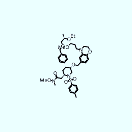 CCO[C@H](C)COCc1ccc([C@H]2C[C@H](CC(=O)N(C)OC)N(S(=O)(=O)c3ccc(C)cc3)C[C@@H]2OCc2ccc3c(c2)N(CCCOC)CCO3)cc1